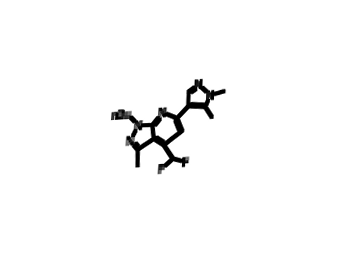 CCCCn1nc(C)c2c(C(F)F)cc(-c3cnn(C)c3C)nc21